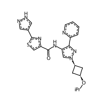 CC(C)O[C@H]1C[C@@H](n2cc(NC(=O)c3csc(-c4cn[nH]c4)n3)c(-c3ccccn3)n2)C1